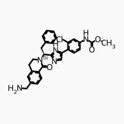 COC(=O)Nc1ccc(-c2cnc([C@H](Cc3ccccc3)N3CCc4cc(CN)ccc4C3=O)[nH]2)c(Cl)c1